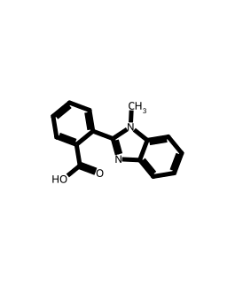 Cn1c(-c2ccccc2C(=O)O)nc2ccccc21